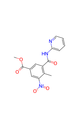 COC(=O)c1cc(C(=O)Nc2ccccn2)c(C)c([N+](=O)[O-])c1